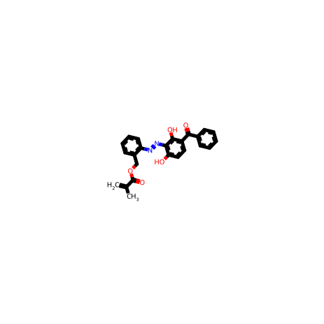 C=C(C)C(=O)OCc1ccccc1N=Nc1c(O)ccc(C(=O)c2ccccc2)c1O